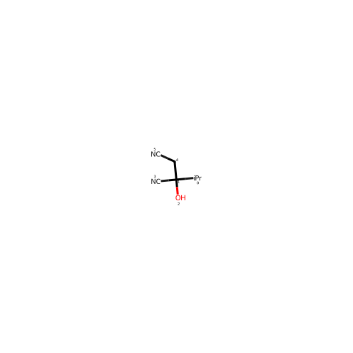 CC(C)C(O)(C#N)CC#N